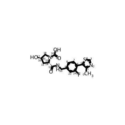 Cc1ncsc1-c1ccc(CNC(=O)[C@@H]2C[C@@H](O)CN2C(=O)O)cc1F